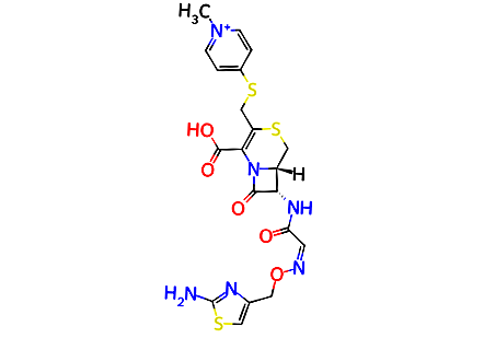 C[n+]1ccc(SCC2=C(C(=O)O)N3C(=O)[C@@H](NC(=O)/C=N\OCc4csc(N)n4)[C@H]3CS2)cc1